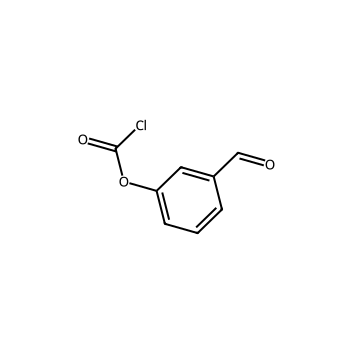 O=Cc1cccc(OC(=O)Cl)c1